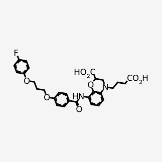 O=C(O)CCCN1CC(C(=O)O)Oc2c(NC(=O)c3ccc(OCCCOc4ccc(F)cc4)cc3)cccc21